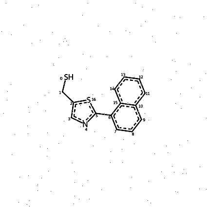 SCc1cnc(-c2cccc3ccccc23)s1